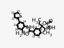 CCC(CC)(O[PH](=O)O)c1cccc(C(=O)Nc2cc(-c3cccs3)ccc2N)c1